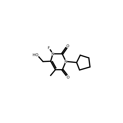 Cc1c(CO)n(F)c(=O)n(C2CCCC2)c1=O